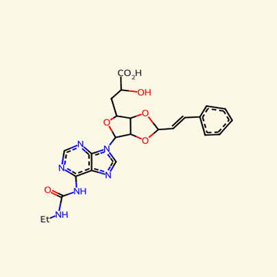 CCNC(=O)Nc1ncnc2c1ncn2C1OC(CC(O)C(=O)O)C2OC(/C=C/c3ccccc3)OC21